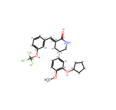 COc1ccc([C@H]2CNC(=O)/C(=C/c3cccc(OC(F)(F)F)c3)C2)cc1OC1CCCC1